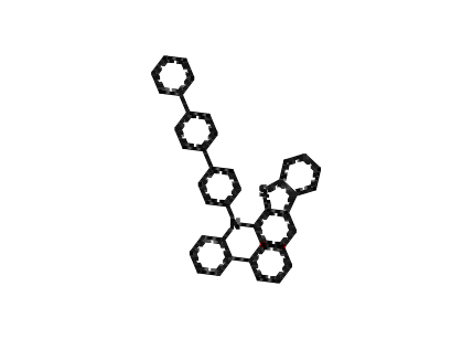 c1ccc(-c2ccc(-c3ccc(N(c4ccccc4-c4ccccc4)c4cccc5c4sc4ccccc45)cc3)cc2)cc1